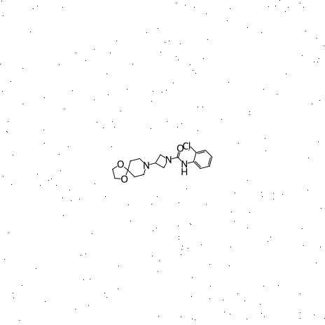 O=C(Nc1ccccc1Cl)N1CC(N2CCC3(CC2)OCCO3)C1